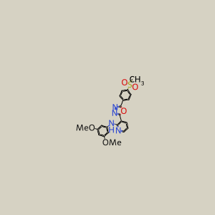 COc1cc(Nc2ncccc2-c2nnc(-c3ccc(S(C)(=O)=O)cc3)o2)cc(OC)c1